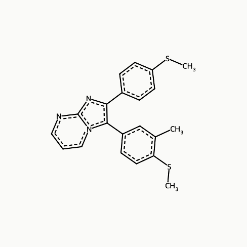 CSc1ccc(-c2nc3ncccn3c2-c2ccc(SC)c(C)c2)cc1